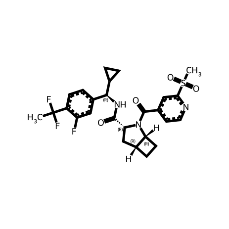 CC(F)(F)c1ccc([C@H](NC(=O)[C@H]2C[C@H]3CC[C@H]3N2C(=O)c2ccnc(S(C)(=O)=O)c2)C2CC2)cc1F